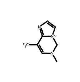 CN1C=C(C(F)(F)F)C2=N[C]=C[N+]2C1